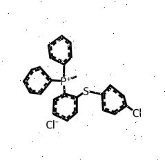 C[P+](c1ccccc1)(c1ccccc1)c1ccccc1Sc1ccc(Cl)cc1.[Cl-]